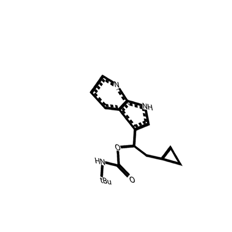 CC(C)(C)NC(=O)OC(CC1CC1)c1c[nH]c2ncccc12